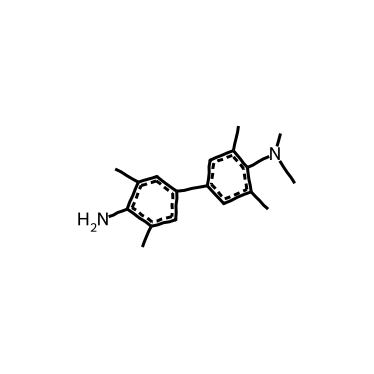 Cc1cc(-c2cc(C)c(N(C)C)c(C)c2)cc(C)c1N